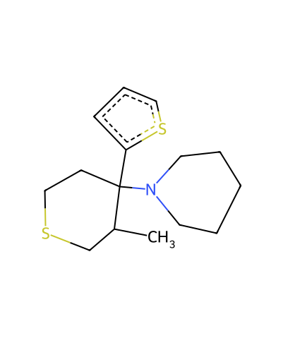 CC1CSCCC1(c1cccs1)N1CCCCC1